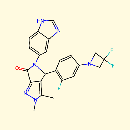 Cc1c2c(nn1C)C(=O)N(c1ccc3[nH]cnc3c1)C2c1ccc(N2CC(F)(F)C2)cc1F